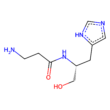 NCCC(=O)N[C@@H](CO)Cc1cnc[nH]1